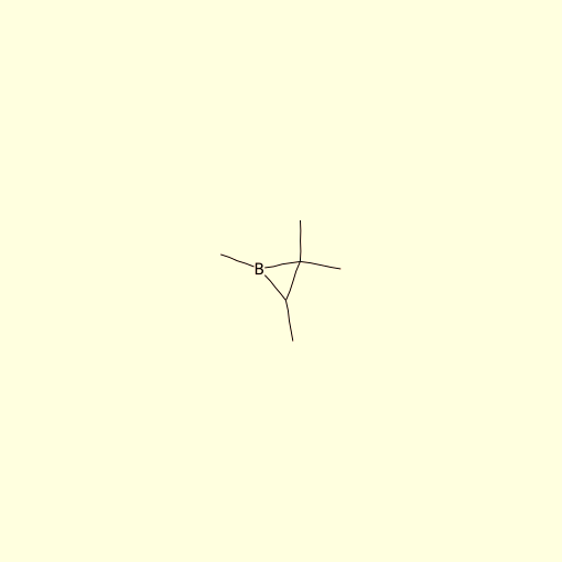 CB1C(C)C1(C)C